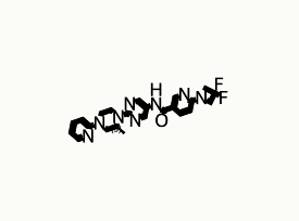 C[C@H]1CN(c2ccccn2)CCN1c1ncc(NC(=O)c2ccc(N3CC(F)(F)C3)nc2)cn1